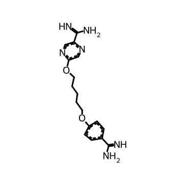 N=C(N)c1ccc(OCCCCCOc2cnc(C(=N)N)cn2)cc1